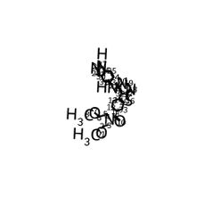 COCCN(CCOC)C(=O)[C@H]1CCc2c(sc3ncnc(Nc4ccc5[nH]ncc5c4)c23)C1